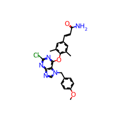 COc1ccc(Cn2cnc3nc(Cl)nc(Oc4c(C)cc(/C=C/C(N)=O)cc4C)c32)cc1